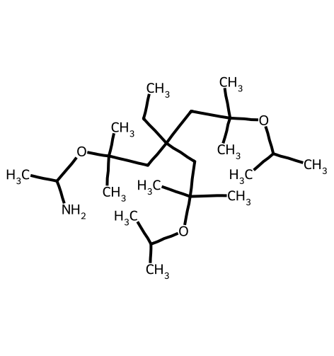 CCC(CC(C)(C)OC(C)C)(CC(C)(C)OC(C)C)CC(C)(C)OC(C)N